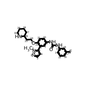 Cn1nccc1-c1cc(NC(=O)Nc2cccc(F)c2)ccc1OCCC1CCCCN1